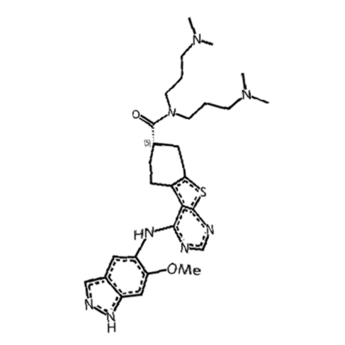 COc1cc2[nH]ncc2cc1Nc1ncnc2sc3c(c12)CC[C@H](C(=O)N(CCCN(C)C)CCCN(C)C)C3